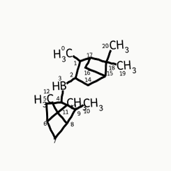 CC1C(BC2CC3CC(C2C)C3(C)C)CC2CC1C2(C)C